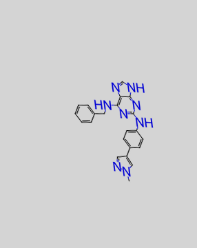 Cn1cc(-c2ccc(Nc3nc(NCc4ccccc4)c4nc[nH]c4n3)cc2)cn1